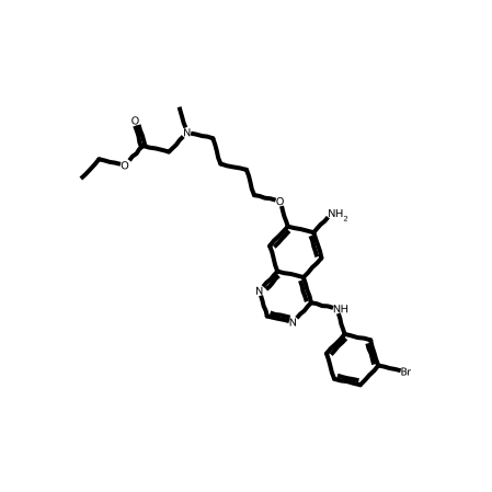 CCOC(=O)CN(C)CCCCOc1cc2ncnc(Nc3cccc(Br)c3)c2cc1N